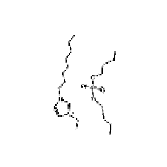 CCCCCCCCn1cc[n+](CC)c1.CCCCOP(=O)([O-])OCCCC